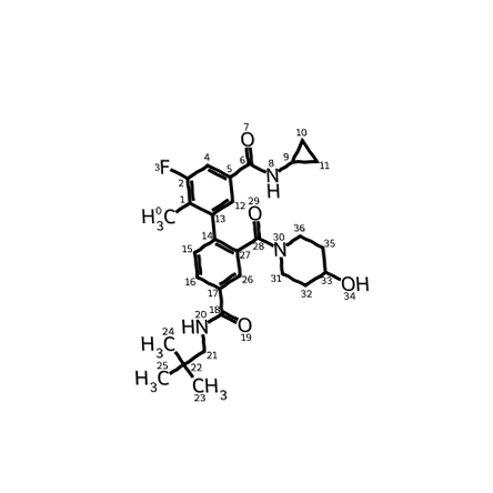 Cc1c(F)cc(C(=O)NC2CC2)cc1-c1ccc(C(=O)NCC(C)(C)C)cc1C(=O)N1CCC(O)CC1